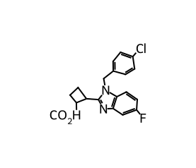 O=C(O)C1CCC1c1nc2cc(F)ccc2n1Cc1ccc(Cl)cc1